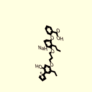 CCCc1c(OCCCOc2cc(O)c(-c3cccs3)cc2CC)cccc1Oc1ccccc1C(=O)O.[NaH]